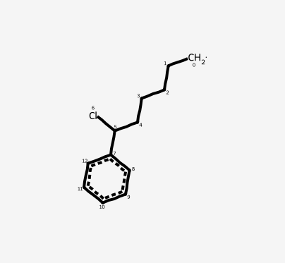 [CH2]CCCCC(Cl)c1ccccc1